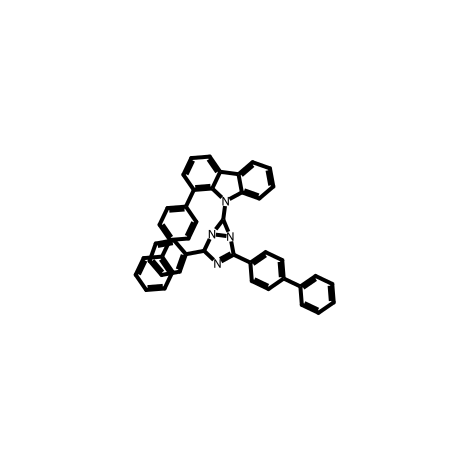 c1ccc(-c2ccc(C3=NC(c4ccccc4)N4C(n5c6ccccc6c6cccc(-c7ccc(-c8ccccc8)cc7)c65)N34)cc2)cc1